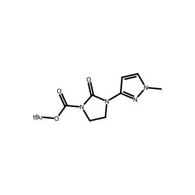 Cn1ccc(N2CCN(C(=O)OC(C)(C)C)C2=O)n1